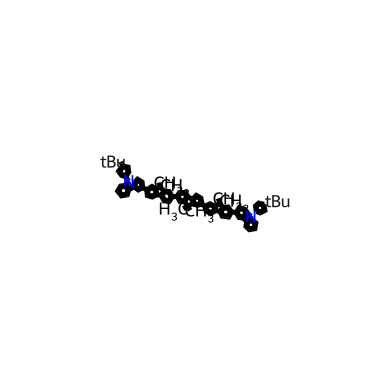 CC(C)(C)c1ccc(-n2c3ccccc3c3cc(-c4ccc5c(c4)C(C)(C)c4cc(-c6ccc7c(c6)C(C)(C)c6cc(-c8ccc9c(c8)C(C)(C)c8cc(-c%10ccc%11c(c%10)c%10ccccc%10n%11-c%10ccc(C(C)(C)C)cc%10)ccc8-9)ccc6-7)ccc4-5)ccc32)cc1